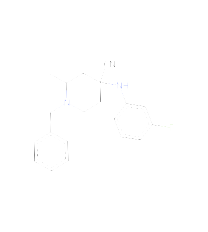 CC1CC(C#N)(Nc2cccc(F)c2)CCN1Cc1ccccc1